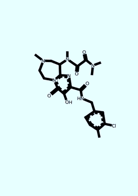 Cc1ccc(CNC(=O)c2nc3n(c(=O)c2O)CCN(C)CC3N(C)C(=O)C(=O)N(C)C)cc1Cl